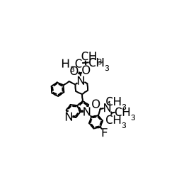 CC(C)N(C)C(=O)c1cc(F)ccc1-n1cc(C2CCN(C(=O)OC(C)(C)C)C(Cc3ccccc3)C2)c2ccncc21